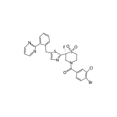 O=C(c1ccc(Br)c(Cl)c1)N1CCS(=O)(=O)[C@](F)(c2ncc(Cc3ccccc3-c3ncccn3)s2)C1